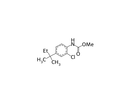 CCC(C)(C)c1ccc(NC(=O)OC)c(Cl)c1